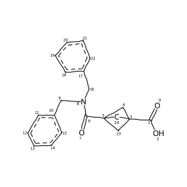 O=C(O)C12CC(C(=O)N(Cc3ccccc3)Cc3ccccc3)(C1)C2